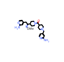 CON=C(Cc1ccnc(N)c1)C1CCN(C(=O)C2CCN(Cc3ccnc(N)c3)CC2)CC1